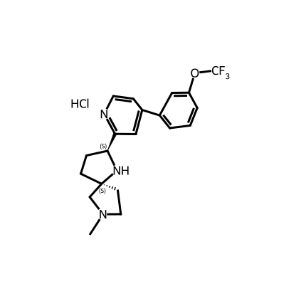 CN1CC[C@@]2(CC[C@@H](c3cc(-c4cccc(OC(F)(F)F)c4)ccn3)N2)C1.Cl